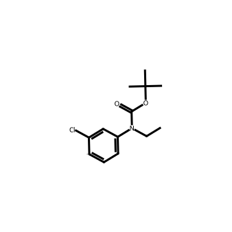 CCN(C(=O)OC(C)(C)C)c1cc[c]c(Cl)c1